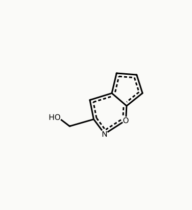 OCc1cc2cccc-2on1